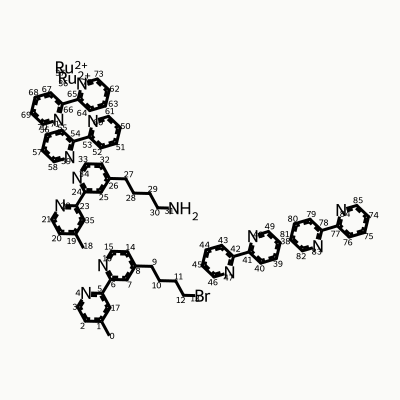 Cc1ccnc(-c2cc(CCCCBr)ccn2)c1.Cc1ccnc(-c2cc(CCCCN)ccn2)c1.[Ru+2].[Ru+2].c1ccc(-c2ccccn2)nc1.c1ccc(-c2ccccn2)nc1.c1ccc(-c2ccccn2)nc1.c1ccc(-c2ccccn2)nc1